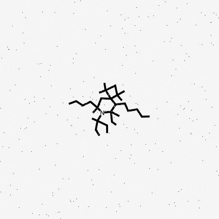 CCCCCC1C(C)(CC)N(C(C)(CC)CC)C(C)(CCCC)CC12C(C)(C)CC2(C)C